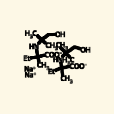 CCC(C)(NC(C)(C)CO)C(=O)[O-].CCC(C)(NC(C)(C)CO)C(=O)[O-].[Na+].[Na+]